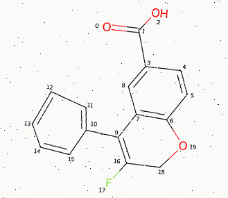 O=C(O)c1ccc2c(c1)C(c1ccccc1)=C(F)CO2